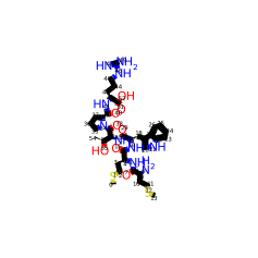 CSCC[C@H](NC(=O)[C@@H](N)CCSC)C(=O)N[C@@H](Cc1c[nH]c2ccccc12)C(=O)N[C@H](C(=O)N1CCC[C@H]1C(=O)N[C@@H](CCCNC(=N)N)C(=O)O)[C@@H](C)O